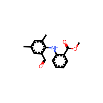 COC(=O)c1ccccc1Nc1c(C)cc(C)cc1C=O